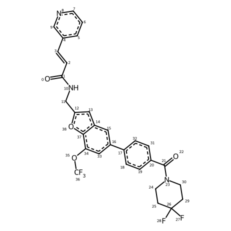 O=C(C=Cc1cccnc1)NCc1cc2cc(-c3ccc(C(=O)N4CCC(F)(F)CC4)cc3)cc(OC(F)(F)F)c2o1